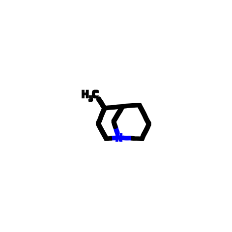 CC1CCN2CCCC1C2